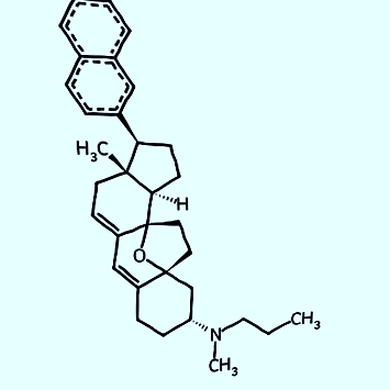 CCCN(C)[C@@H]1CCC2=CC3=CC[C@]4(C)[C@@H](c5ccc6ccccc6c5)CC[C@H]4[C@@]34CC[C@]2(C1)O4